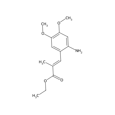 CCOC(=O)/C(C)=C/c1cc(OC)c(OC)cc1N